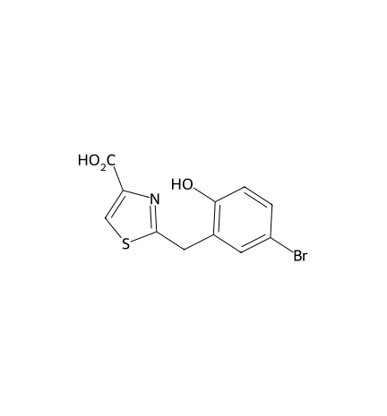 O=C(O)c1csc(Cc2cc(Br)ccc2O)n1